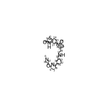 CN1CC(Oc2cccc(-c3cccc(CNCCC4CN(c5ccc6c(c5)NC(=O)CS6)C(=O)O4)c3)n2)C1